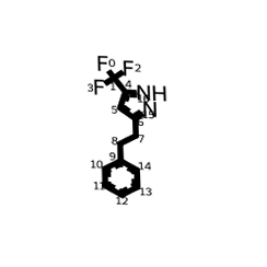 FC(F)(F)c1cc(CCc2ccccc2)n[nH]1